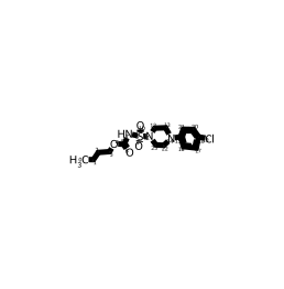 CCCCOC(=O)NS(=O)(=O)N1CCN(c2ccc(Cl)cc2)CC1